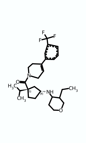 CCC1COCCC1N[C@@H]1CC[C@@](C(=O)N2CC=C(c3cccc(C(F)(F)F)c3)CC2)(C(C)C)C1